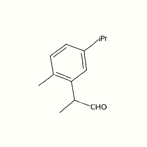 Cc1ccc(C(C)C)cc1C(C)C=O